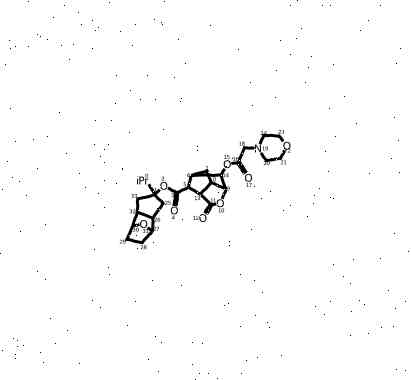 CC(C)C1(OC(=O)C2C3CC4C(OC(=O)C42)C3OC(=O)CN2CCOCC2)CC2C3CCC(O3)C2C1